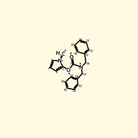 Cn1cccc1OC(=O)N(Cc1ccccc1)Cc1ccccc1